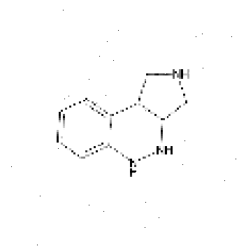 c1ccc2c(c1)NNC1CNCC21